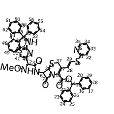 CON=C(C(=O)NC1C(=O)N2C(C(=O)OC(c3ccccc3)c3ccccc3)=C(C=CSc3ccccn3)CSC12)c1csc(NC(c2ccccc2)(c2ccccc2)c2ccccc2)n1